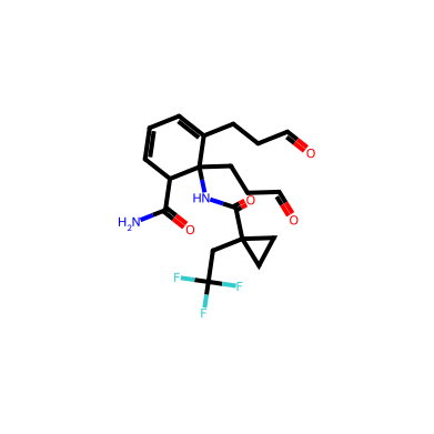 NC(=O)C1C=CC=C(CCC=O)C1(CCC=O)NC(=O)C1(CC(F)(F)F)CC1